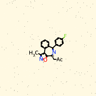 CC(=O)C[C@@H]1N=C(c2ccc(F)cc2)c2ccccc2-c2c(C)noc21